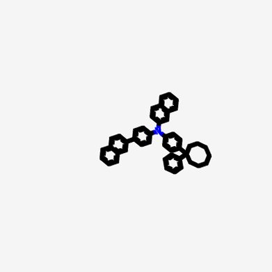 c1ccc(C2(c3ccc(N(c4ccc(-c5ccc6ccccc6c5)cc4)c4ccc5ccccc5c4)cc3)CCCCCCC2)cc1